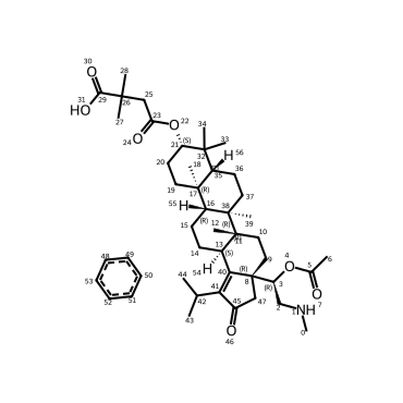 CNC[C@H](OC(C)=O)[C@@]12CC[C@]3(C)[C@H](CC[C@@H]4[C@@]5(C)CC[C@H](OC(=O)CC(C)(C)C(=O)O)C(C)(C)[C@@H]5CC[C@]43C)C1=C(C(C)C)C(=O)C2.c1ccccc1